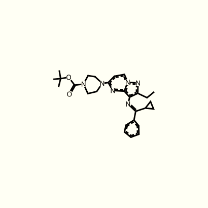 CCc1nn2ccc(N3CCN(C(=O)OC(C)(C)C)CC3)nc2c1/N=C(/c1ccccc1)C1CC1